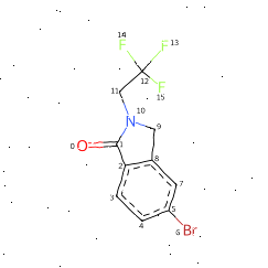 O=C1c2ccc(Br)cc2CN1CC(F)(F)F